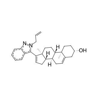 C=CCn1nc2ccccc2c1C1=CC[C@H]2[C@@H]3CC=C4C[C@@H](O)CC[C@]4(C)[C@H]3CC[C@]12C